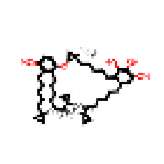 O=C(O)C1(CCCCCCc2cc(O)c(O)c(O)c2CCCCCC2(C(=O)O)CC2Oc2ccc(O)c(CCCCCC3(C(=O)O)CC3)c2CCCCCCC2(C(=O)O)CC2)CC1